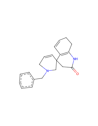 O=C1CC2(C=CCN(Cc3ccccc3)C2)C2=C(CCC=C2)N1